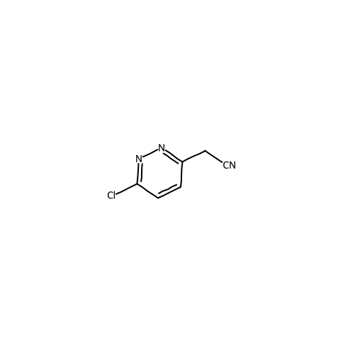 N#CCc1ccc(Cl)nn1